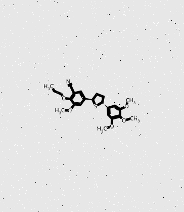 CCCOc1c(C#N)cc([C@H]2CC[C@H](c3cc(OC)c(OC)c(OC)c3)S2)cc1OC